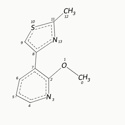 COc1nc[c]cc1-c1csc(C)n1